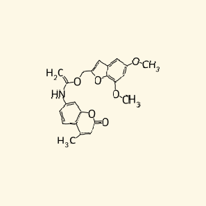 C=C(Nc1ccc2c(C)cc(=O)oc2c1)OCc1cc2cc(OC)cc(OC)c2o1